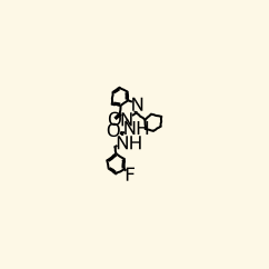 O=C(NCc1cccc(F)c1)Nn1c(C2CCCCC2)nc2ccccc2c1=O